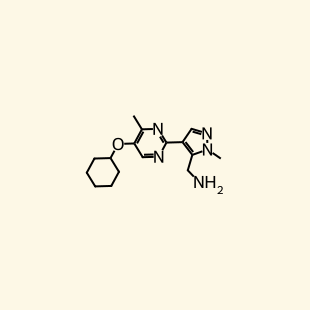 Cc1nc(-c2cnn(C)c2CN)ncc1OC1CCCCC1